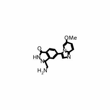 COc1ccc2ncc(-c3ccc4c(=O)[nH]nc(CN)c4c3)n2c1